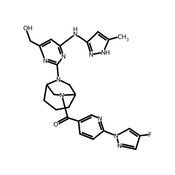 Cc1cc(Nc2cc(CO)nc(N3CC4CCCC3CN4C(=O)c3ccc(-n4cc(F)cn4)nc3)n2)n[nH]1